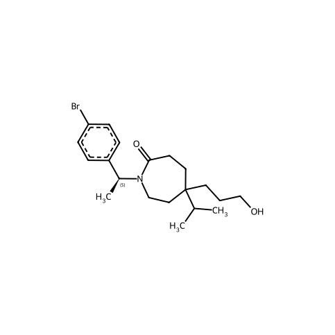 CC(C)C1(CCCO)CCC(=O)N([C@@H](C)c2ccc(Br)cc2)CC1